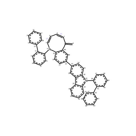 C=C1/C=C\C=C/N(c2ccccc2-c2ccccc2)c2ccc(-c3ccc4c(c3)c3ccccc3n4-c3ccccc3-c3ccccc3)cc21